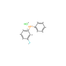 Cl.Fc1cccc(Pc2ccccc2)c1